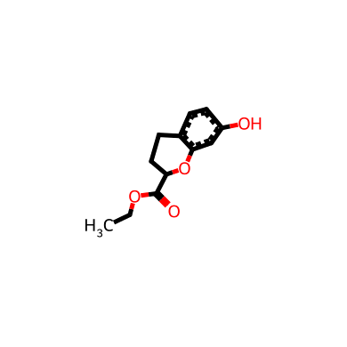 CCOC(=O)C1CCc2ccc(O)cc2O1